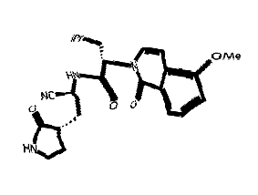 COc1cccc2c(=O)n([C@@H](CC(C)C)C(=O)N[C@H](C#N)C[C@@H]3CCNC3=O)ccc12